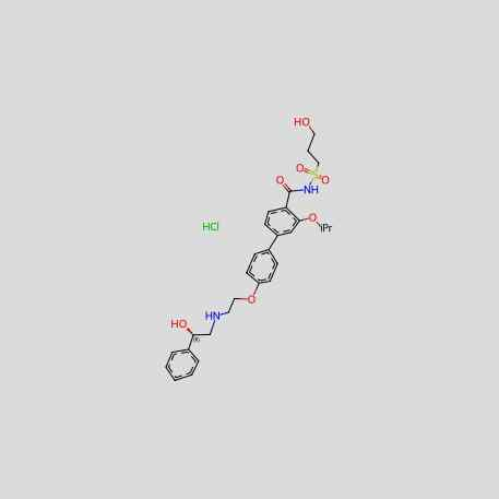 CC(C)Oc1cc(-c2ccc(OCCNC[C@H](O)c3ccccc3)cc2)ccc1C(=O)NS(=O)(=O)CCCO.Cl